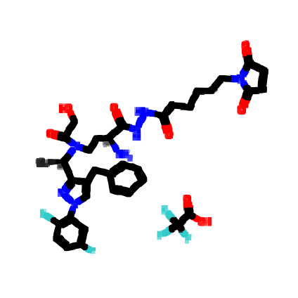 CC(C)(C)[C@H](c1nn(-c2cc(F)ccc2F)cc1Cc1ccccc1)N(CC[C@H](N)C(=O)NNC(=O)CCCCCN1C(=O)C=CC1=O)C(=O)CO.O=C(O)C(F)(F)F